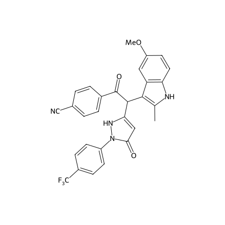 COc1ccc2[nH]c(C)c(C(C(=O)c3ccc(C#N)cc3)c3cc(=O)n(-c4ccc(C(F)(F)F)cc4)[nH]3)c2c1